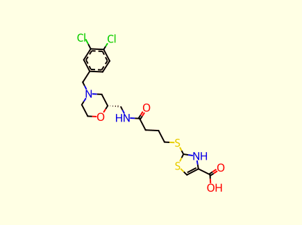 O=C(CCCSC1NC(C(=O)O)=CS1)NC[C@H]1CN(Cc2ccc(Cl)c(Cl)c2)CCO1